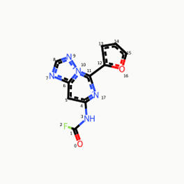 O=C(F)Nc1cc2ncnn2c(-c2ccco2)n1